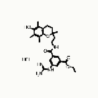 CCOC(=O)c1cc(NC(=N)N)cc(C(=O)NCCC2(C)CCc3c(C)c(O)c(C)c(C)c3O2)c1.Cl